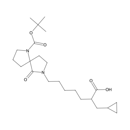 CC(C)(C)OC(=O)N1CCCC12CCN(CCCCCC(CC1CC1)C(=O)O)C2=O